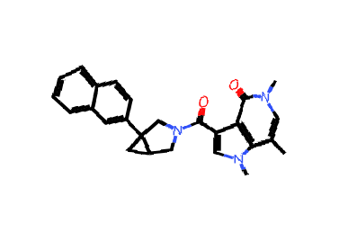 Cc1cn(C)c(=O)c2c(C(=O)N3CC4CC4(c4ccc5ccccc5c4)C3)cn(C)c12